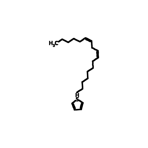 CCCCC/C=C\C/C=C\CCCCCCC[SH]1C=CC=C1